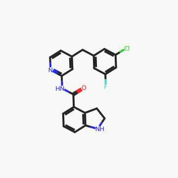 O=C(Nc1cc(Cc2cc(F)cc(Cl)c2)ccn1)c1cccc2c1CCN2